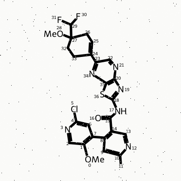 COc1cnc(Cl)cc1-c1cc(C)ncc1C(=O)Nc1nc2ncc(C3=CCC(OC)(C(F)F)CC3)nc2s1